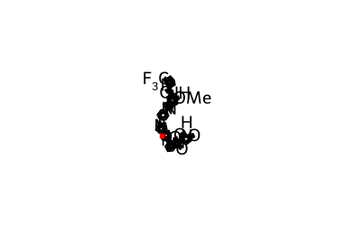 COc1cc2nn([C@H]3CC[C@H](CN4CCC5(CC4)CCN(c4cccc6c4C(=O)N(C4CCC(=O)NC4=O)C6=O)CC5)CC3)cc2cc1NC(=O)c1cccc(C(F)(F)F)n1